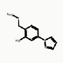 CSSCc1ccc(-n2cccn2)cc1O